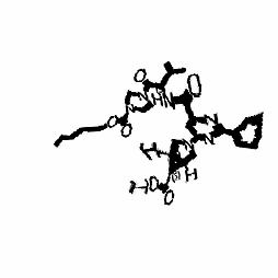 CCCCCOC(=O)N1CCN(C(=O)[C@@H](NC(=O)c2cc(N3C[C@@H]4[C@H](C3)[C@@H]4C(=O)O)nc(-c3ccccc3)n2)C(C)C)CC1